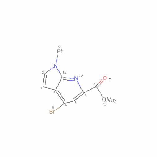 CCn1ccc2c(Br)cc(C(=O)OC)nc21